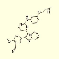 CNCCOc1cccc(Nc2nccc(-c3c(-c4ccc(OC)c(C#N)c4)nc4ccccn34)n2)c1